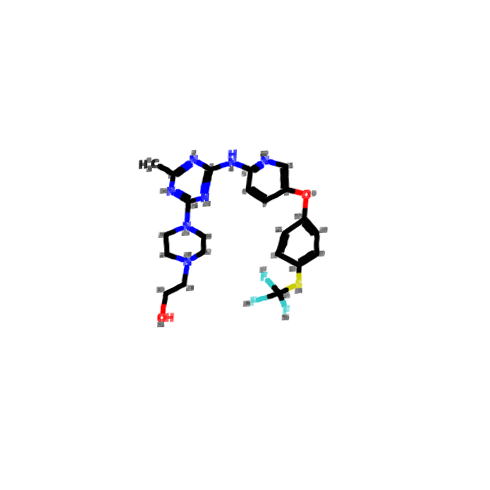 Cc1nc(Nc2ccc(Oc3ccc(SC(F)(F)F)cc3)cn2)nc(N2CCN(CCO)CC2)n1